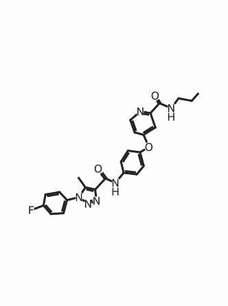 CCCNC(=O)c1cc(Oc2ccc(NC(=O)c3nnn(-c4ccc(F)cc4)c3C)cc2)ccn1